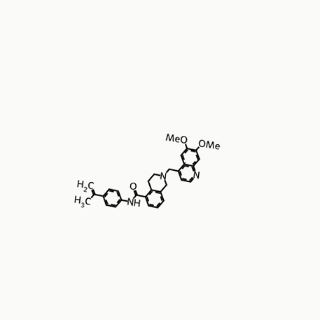 C=C(C)c1ccc(NC(=O)c2cccc3c2CCN(Cc2ccnc4cc(OC)c(OC)cc24)C3)cc1